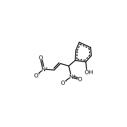 O=[N+]([O-])C=CC(c1ccccc1O)[N+](=O)[O-]